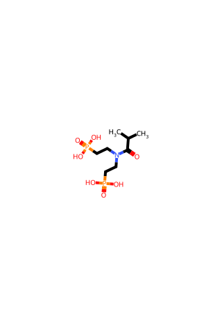 CC(C)C(=O)N(CCP(=O)(O)O)CCP(=O)(O)O